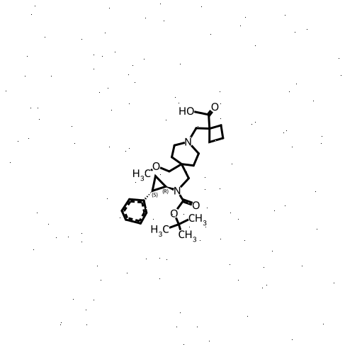 COCC1(CN(C(=O)OC(C)(C)C)[C@@H]2C[C@H]2c2ccccc2)CCN(CC2(C(=O)O)CCC2)CC1